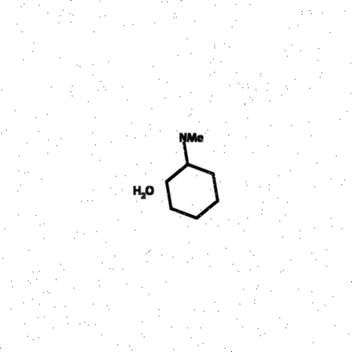 CNC1CCCCC1.O